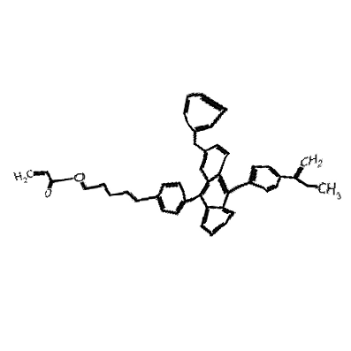 C=CC(=O)OCCCCCc1ccc(-c2c3ccccc3c(-c3ccc(C(=C)CC)cc3)c3ccc(Cc4ccccc4)cc23)cc1